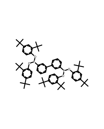 CC(C)(C)c1ccc(OP(Oc2ccc(C(C)(C)C)cc2C(C)(C)C)c2cccc(-c3cccc(P(Oc4ccc(C(C)(C)C)cc4C(C)(C)C)Oc4ccc(C(C)(C)C)cc4C(C)(C)C)c3)c2)c(C(C)(C)C)c1